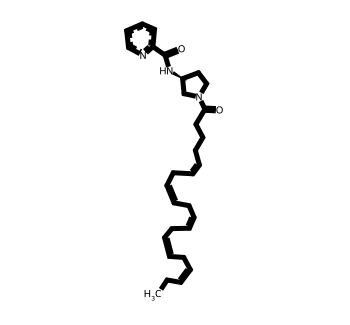 CC/C=C\C/C=C\C/C=C\C/C=C\C/C=C\CCCC(=O)N1CC[C@H](NC(=O)c2ccccn2)C1